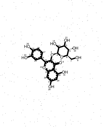 O=c1c(O[C@@H]2O[C@H](CO)[C@@H](O)C(O)C2O)c(-c2ccc(O)c(O)c2)oc2cc(O)cc(O)c12